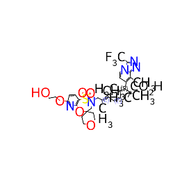 C=C(/C=C\C(C)=C(/C)CN1CC2(CCOCC2)Oc2nc(OCCO)ccc2S1(=O)=O)[C@@H](c1ccn2c(C(F)(F)F)nnc2c1C)C(C)(C)C(=O)O